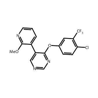 COc1ncccc1-c1cncnc1Oc1ccc(Cl)c(C(F)(F)F)c1